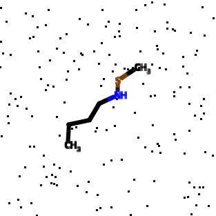 CCCCNSC